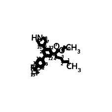 CCCCCC(C(=O)OCC)c1cc(-c2ccc(C(F)(F)F)cc2)cc(C2CCNCC2)c1